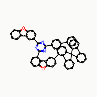 c1ccc(-c2ccc(-c3nc(-c4ccc5oc6ccccc6c5c4)nc(-c4cccc5oc6ccc(-c7cccc8c7-c7ccccc7C87c8ccccc8-c8ccccc87)cc6c45)n3)cc2)cc1